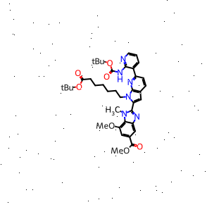 COC(=O)c1cc(OC)c2c(c1)nc(-c1cc3ccc(-c4cccnc4NC(=O)OC(C)(C)C)nc3n1CCCCCCC(=O)OC(C)(C)C)n2C